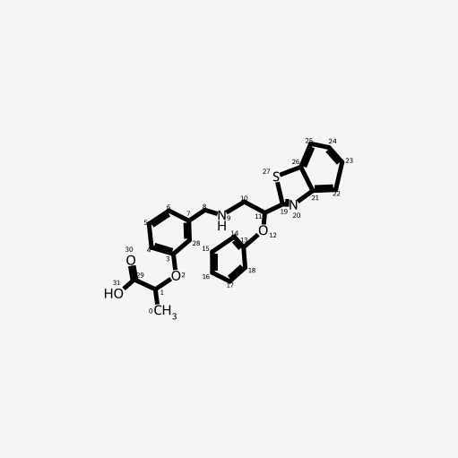 CC(Oc1cccc(CNCC(Oc2ccccc2)c2nc3ccccc3s2)c1)C(=O)O